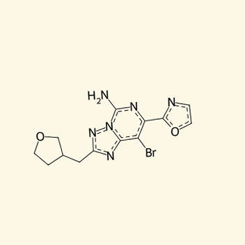 Nc1nc(-c2ncco2)c(Br)c2nc(CC3CCOC3)nn12